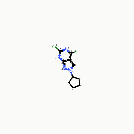 Clc1nc(Cl)c2cn(C3CCCC3)nc2n1